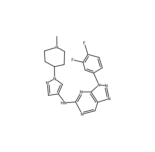 CN1CCC(n2cc(Nc3ncc4nnn(-c5ccc(F)c(F)c5)c4n3)cn2)CC1